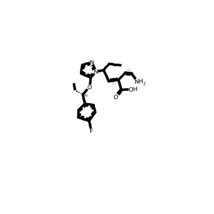 CCC(/C=C(\C=C/N)C(=O)O)n1nccc1O[C@@H](CC)c1ccc(F)cc1